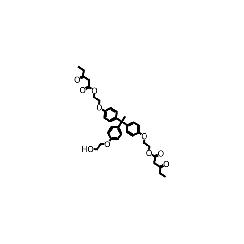 CCC(=O)CC(=O)OCCOc1ccc(C(C)(c2ccc(OCCO)cc2)c2ccc(OCCOC(=O)CC(=O)CC)cc2)cc1